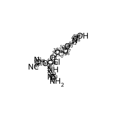 Cc1c(COc2cc(OCc3cncc(C#N)c3)c(CNCc3csc(N)n3)cc2Cl)cccc1-c1cccc(OCCCN2CC[C@@H](O)C2)c1C